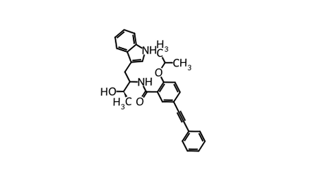 CC(C)Oc1ccc(C#Cc2ccccc2)cc1C(=O)NC(Cc1c[nH]c2ccccc12)[C@@H](C)O